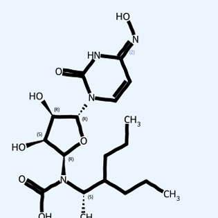 CCCC(CCC)[C@H](C)N(C(=O)O)[C@@H]1O[C@@H](n2cc/c(=N/O)[nH]c2=O)[C@H](O)[C@@H]1O